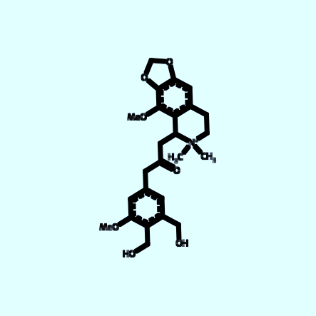 COc1cc(CC(=O)CC2c3c(cc4c(c3OC)OCO4)CC[N+]2(C)C)cc(CO)c1CO